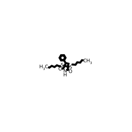 CCCCCCSC12CC(c3ccccc3)C1(SCCCCCC)C(=O)NC2=O